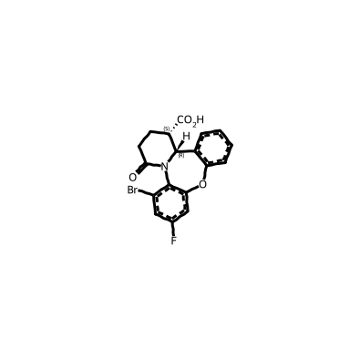 O=C(O)[C@H]1CCC(=O)N2c3c(Br)cc(F)cc3Oc3ccccc3[C@@H]12